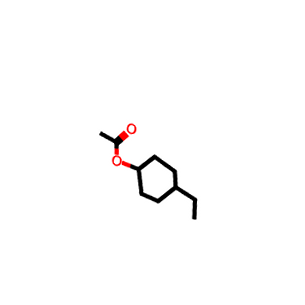 CCC1CCC(OC(C)=O)CC1